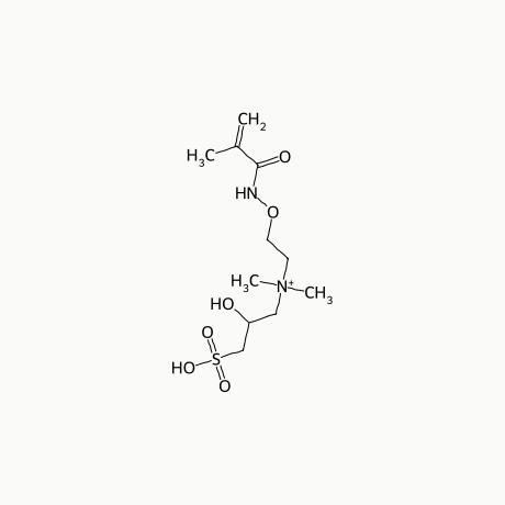 C=C(C)C(=O)NOCC[N+](C)(C)CC(O)CS(=O)(=O)O